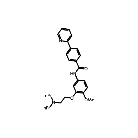 CCCN(CCC)CCOc1cc(NC(=O)c2ccc(-c3ccccn3)cc2)ccc1OC